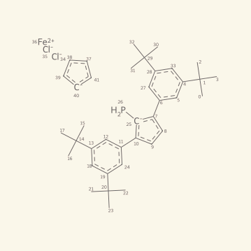 CC(C)(C)c1cc(-c2ccc(-c3cc(C(C)(C)C)cc(C(C)(C)C)c3)[c-]2P)cc(C(C)(C)C)c1.[Cl-].[Cl-].[Fe+2].c1cc[cH-]c1